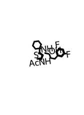 CC(=O)NC(Cc1cc(F)cc(F)c1)C(O)CNC1(c2cccs2)CCCCC1